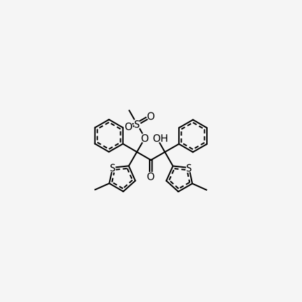 Cc1ccc(C(O)(C(=O)C(OS(C)(=O)=O)(c2ccccc2)c2ccc(C)s2)c2ccccc2)s1